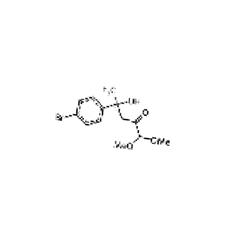 COC(OC)C(=O)C[C@](O)(c1ccc(Br)cc1)C(F)(F)F